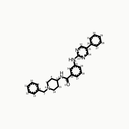 O=C(NC1CCN(Cc2ccccc2)CC1)c1cccc(Nc2ncc(-c3ccccc3)cn2)c1